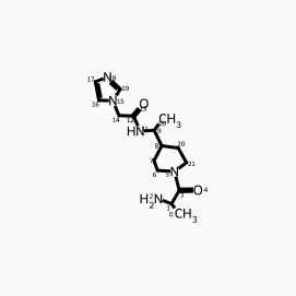 CC(N)C(=O)N1CCC(C(C)NC(=O)Cn2ccnc2)CC1